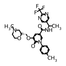 Cc1ccc(-n2cc(C(=O)NC(C)c3cnc(C(F)(F)F)nc3)cc(OC[C@H]3CN(C)CCO3)c2=O)cc1